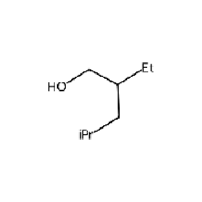 CCC(CO)CC(C)C